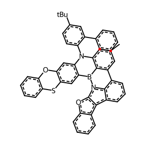 Cc1cc2c3c(c1)N(c1ccc(C(C)(C)C)cc1-c1ccccc1)c1cc4c(cc1B3n1c3oc5ccccc5c3c3cccc-2c31)Sc1ccccc1O4